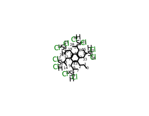 CCCc1c(CC(C)[SiH](Cl)Cl)c(CC(C)[SiH](Cl)Cl)c(CC(C)[SiH](Cl)Cl)c(CC(C)[SiH](Cl)Cl)c1CC(C)[SiH](Cl)Cl